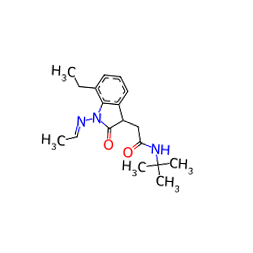 CC=NN1C(=O)C(CC(=O)NC(C)(C)C)c2cccc(CC)c21